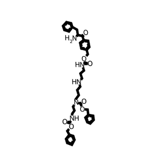 NC(Cc1ccccc1)C(=O)c1ccc(COC(=O)NCCCNCCCCN(CCCNC(=O)OCc2ccccc2)C(=O)OCc2ccccc2)cc1